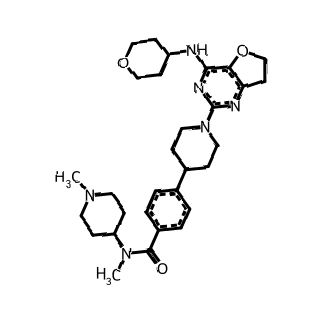 CN1CCC(N(C)C(=O)c2ccc(C3CCN(c4nc5c(c(NC6CCOCC6)n4)OCC5)CC3)cc2)CC1